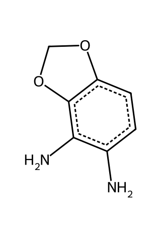 Nc1ccc2c(c1N)OCO2